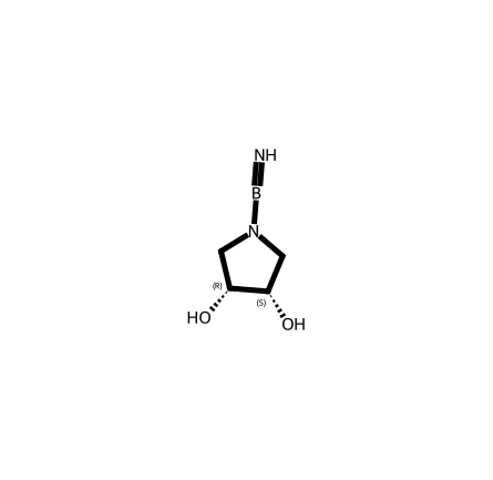 N=BN1C[C@@H](O)[C@@H](O)C1